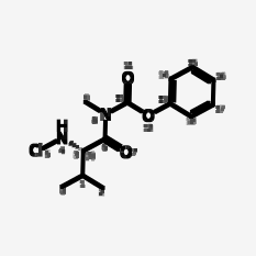 CC(C)[C@H](NCl)C(=O)N(C)C(=O)Oc1ccccc1